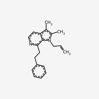 C=CCn1c(C)c(C)c2ccnc(CCc3ccccc3)c21